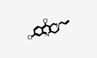 C=CCN1CCc2nc3cc(Cl)ccc3c(Cl)c2C1